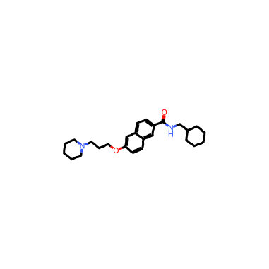 O=C(NCC1CCCCC1)c1ccc2cc(OCCCN3CCCCC3)ccc2c1